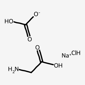 Cl.NCC(=O)O.O=C([O-])O.[Na+]